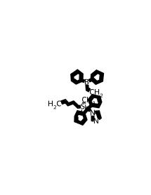 C=CB(c1ccccc1)c1ccccc1.C=CCCC[SiH](C)C(c1ccccc1)(c1ccccc1)n1ccnc1